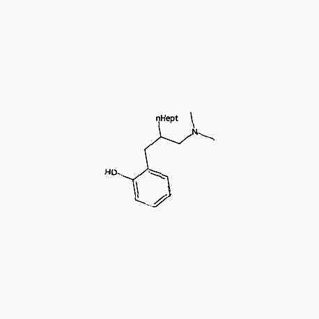 CCCCCCCC(Cc1ccccc1O)CN(C)C